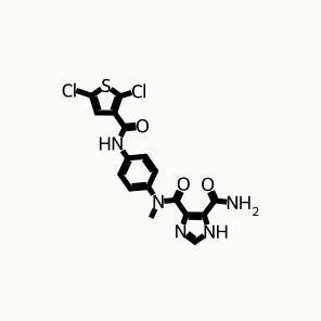 CN(C(=O)c1nc[nH]c1C(N)=O)c1ccc(NC(=O)c2cc(Cl)sc2Cl)cc1